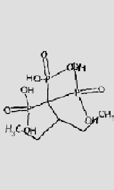 CCC(CC)C(P(=O)(O)O)(P(=O)(O)O)P(=O)(O)O